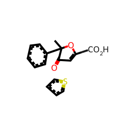 CC1(c2ccccc2)OC(C(=O)O)=CC1=O.c1ccsc1